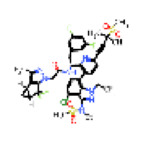 CCN(c1nn(CC(F)(F)F)c2c(-c3ccc(C#CC(C)(C)S(C)(=O)=O)nc3[C@H](Cc3cc(F)cc(F)c3)NC(=O)Cn3nc(C(F)(F)F)c4c3C(F)(F)[C@@H]3C[C@H]43)ccc(Cl)c12)S(C)(=O)=O